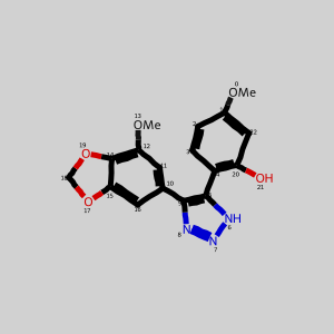 COc1ccc(-c2[nH]nnc2-c2cc(OC)c3c(c2)OCO3)c(O)c1